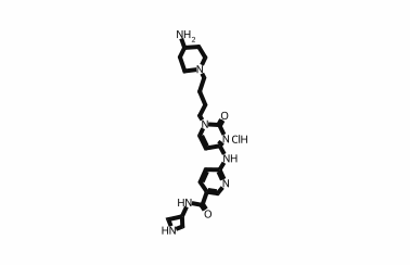 Cl.NC1CCN(CCCCn2ccc(Nc3ccc(C(=O)NC4CNC4)cn3)nc2=O)CC1